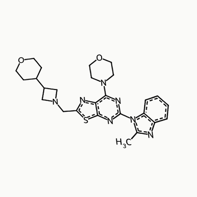 Cc1nc2ccccc2n1-c1nc(N2CCOCC2)c2nc(CN3CC(C4CCOCC4)C3)sc2n1